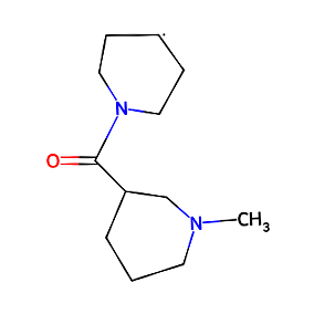 CN1CCCC(C(=O)N2CC[CH]CC2)C1